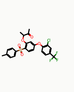 CC(=O)C(C)Oc1cc(Oc2ccc(C(F)(F)F)cc2Cl)ccc1S(=O)(=O)c1ccc(C)cc1